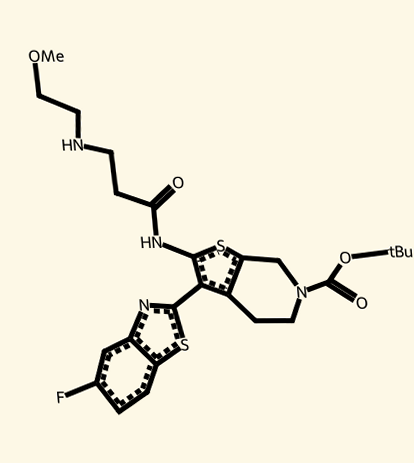 COCCNCCC(=O)Nc1sc2c(c1-c1nc3cc(F)ccc3s1)CCN(C(=O)OC(C)(C)C)C2